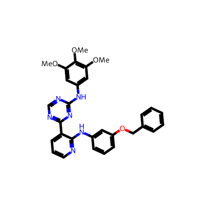 COc1cc(Nc2ncnc(-c3cccnc3Nc3cccc(OCc4ccccc4)c3)n2)cc(OC)c1OC